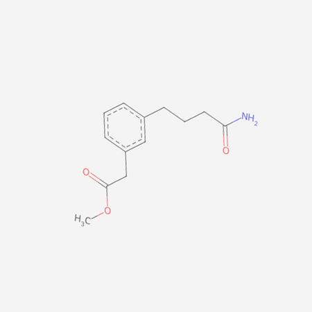 COC(=O)Cc1cccc(CCCC(N)=O)c1